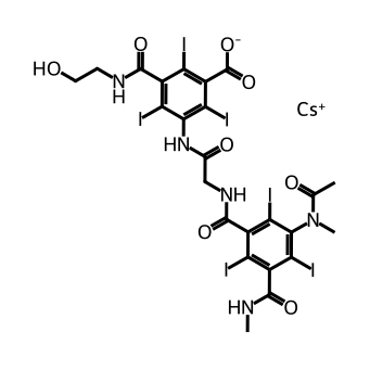 CNC(=O)c1c(I)c(C(=O)NCC(=O)Nc2c(I)c(C(=O)[O-])c(I)c(C(=O)NCCO)c2I)c(I)c(N(C)C(C)=O)c1I.[Cs+]